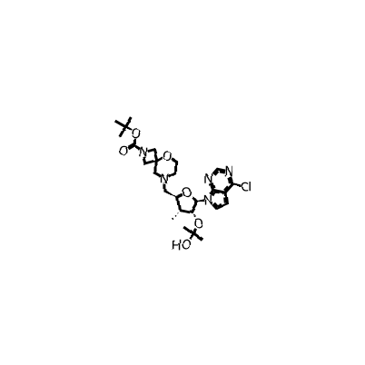 C[C@H]1[C@@H](OC(C)(C)O)[C@H](n2ccc3c(Cl)ncnc32)O[C@@H]1CN1CCOC2(C1)CN(C(=O)OC(C)(C)C)C2